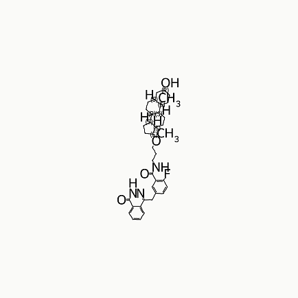 C[C@]12CC[C@@H](O)C[C@@H]1CC[C@@H]1[C@@H]2CC[C@]2(C)[C@@H](OCCCNC(=O)c3cc(Cc4n[nH]c(=O)c5ccccc45)ccc3F)CC[C@@H]12